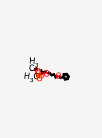 CCCOCC(COCCCCOCc1ccccc1)OS(C)(=O)=O